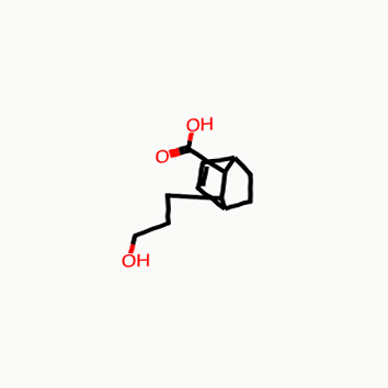 O=C(O)C1C2C=CC(CC2)C1CCCO